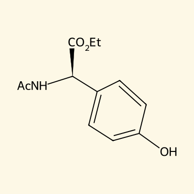 CCOC(=O)[C@H](NC(C)=O)c1ccc(O)cc1